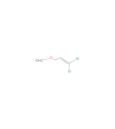 O=[C]OCC=C(Br)Br